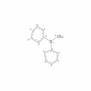 CC(C)(C)B(c1ccccc1)c1ccccc1